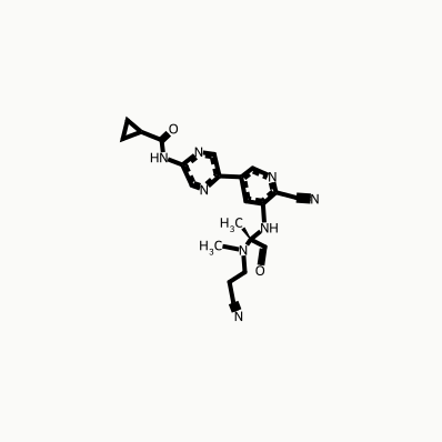 CN(CCC#N)[C@@](C)(C=O)Nc1cc(-c2cnc(NC(=O)C3CC3)cn2)cnc1C#N